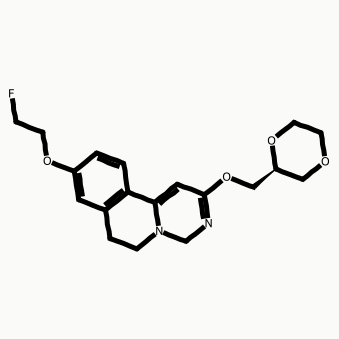 FCCOc1ccc2c(c1)CCN1CN=C(OC[C@@H]3COCCO3)C=C21